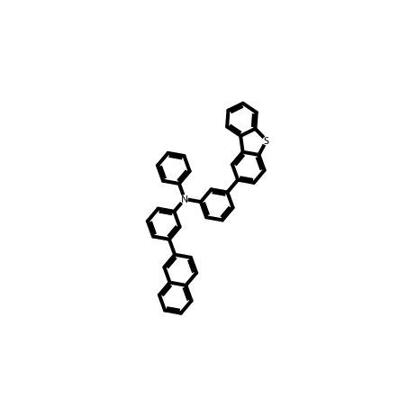 c1ccc(N(c2cccc(-c3ccc4ccccc4c3)c2)c2cccc(-c3ccc4sc5ccccc5c4c3)c2)cc1